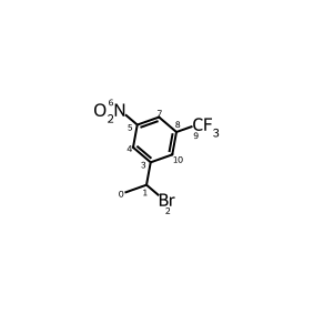 CC(Br)c1cc([N+](=O)[O-])cc(C(F)(F)F)c1